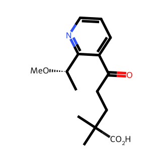 CO[C@@H](C)c1ncccc1C(=O)CCC(C)(C)C(=O)O